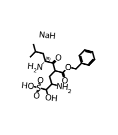 CC(C)C[C@@H](N)C(=O)C(CC(N)C(O)S(=O)(=O)O)C(=O)OCc1ccccc1.[NaH]